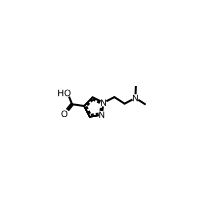 CN(C)CCn1cc(C(=O)O)cn1